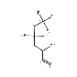 C=CC(F)CC(F)(F)CC(F)(F)F